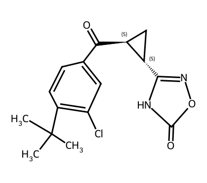 CC(C)(C)c1ccc(C(=O)[C@H]2C[C@@H]2c2noc(=O)[nH]2)cc1Cl